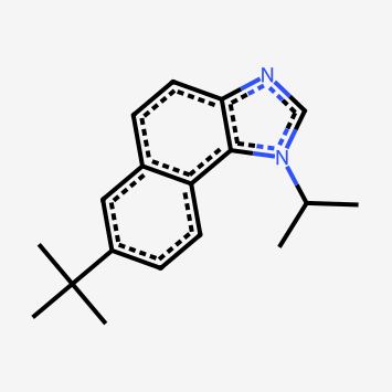 CC(C)n1cnc2ccc3cc(C(C)(C)C)ccc3c21